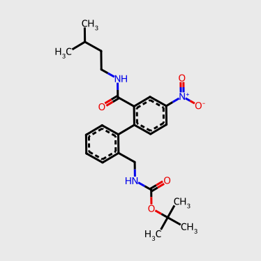 CC(C)CCNC(=O)c1cc([N+](=O)[O-])ccc1-c1ccccc1CNC(=O)OC(C)(C)C